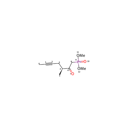 CC#CC[C@H](C)C(=O)CP(=O)(OC)OC